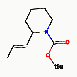 CC=CC1CCCCN1C(=O)OC(C)(C)C